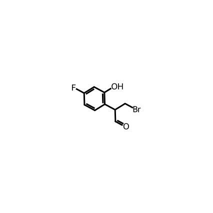 O=CC(CBr)c1ccc(F)cc1O